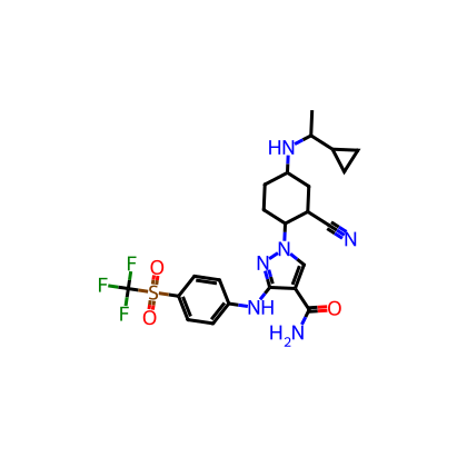 CC(NC1CCC(n2cc(C(N)=O)c(Nc3ccc(S(=O)(=O)C(F)(F)F)cc3)n2)C(C#N)C1)C1CC1